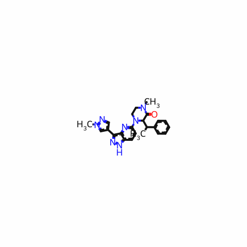 CC(c1ccccc1)C1C(=O)N(C)CCN1c1ccc2[nH]nc(-c3cnn(C)c3)c2n1